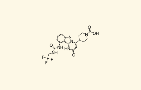 O=C(NCC(F)(F)F)Nc1cccc2nn3c(C4CCN(C(=O)O)CC4)cc(=O)[nH]c3c12